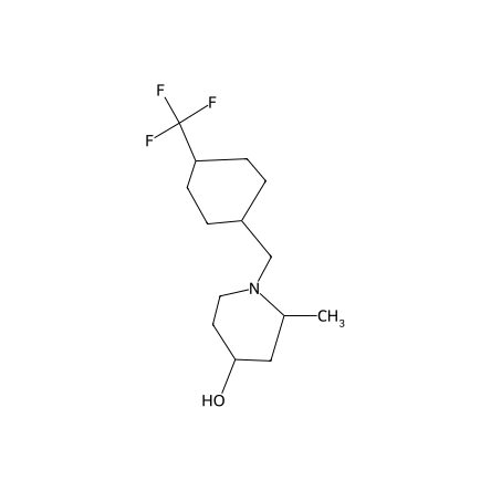 CC1CC(O)CCN1CC1CCC(C(F)(F)F)CC1